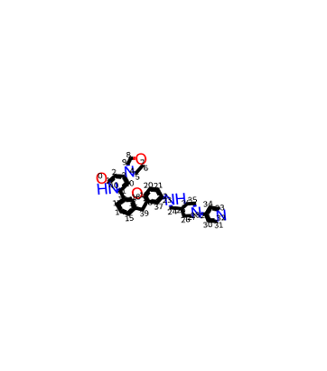 O=c1cc(N2CCOCC2)cc(-c2cccc3c2Oc2ccc(NCC4CCN(c5ccncc5)CC4)cc2C3)[nH]1